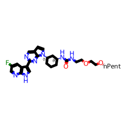 CCCCCOCCOCCNC(=O)N[C@@H]1CCC[C@H](n2ccc3cnc(-c4c[nH]c5ncc(F)cc45)nc32)C1